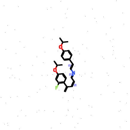 C=C(\C=C/C=N/C=C/c1ccc(OC(C)C)cc1)c1ccc(OC(C)C)cc1F